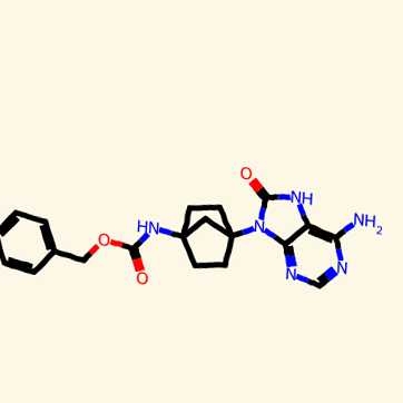 Nc1ncnc2c1[nH]c(=O)n2C12CCC(NC(=O)OCc3ccccc3)(CC1)C2